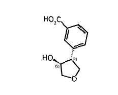 O=C(O)c1cccc([C@@H]2COC[C@H]2O)c1